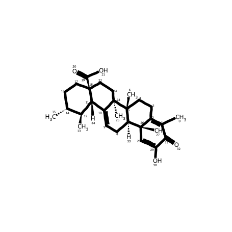 CC1=C2CC[C@]3(C)[C@H](CC=C4[C@@H]5[C@@H](C)[C@H](C)CC[C@]5(C(=O)O)CC[C@]43C)[C@@]2(C)C=C(O)C1=O